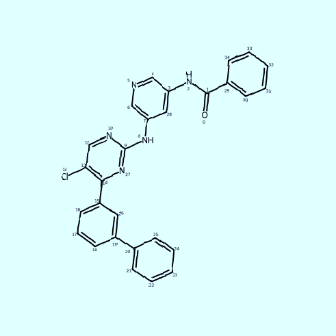 O=C(Nc1cncc(Nc2ncc(Cl)c(-c3cccc(-c4ccccc4)c3)n2)c1)c1ccccc1